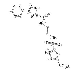 CCOC(=O)c1cc(S(=O)(=O)NCCNC(=O)c2cc(-c3ccccc3)on2)[nH]n1